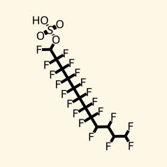 O=S(=O)(O)OC(F)C(F)(F)C(F)(F)C(F)(F)C(F)(F)C(F)(F)C(F)(F)C(F)(F)C(F)C(F)C(F)C(F)F